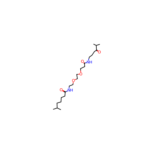 CC(C)CCCCC(=O)NCCOCCOCCC(=O)NCCCC(=O)C(C)C